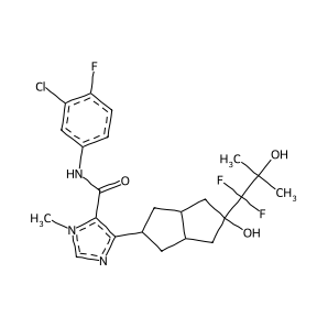 Cn1cnc(C2CC3CC(O)(C(F)(F)C(C)(C)O)CC3C2)c1C(=O)Nc1ccc(F)c(Cl)c1